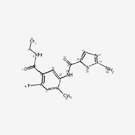 Cc1cc(F)c(C(=O)NCC(F)(F)F)cc1NC(=O)c1cnc(N)s1